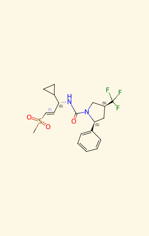 CS(=O)(=O)/C=C/[C@@H](NC(=O)N1C[C@@H](C(F)(F)F)C[C@H]1c1ccccc1)C1CC1